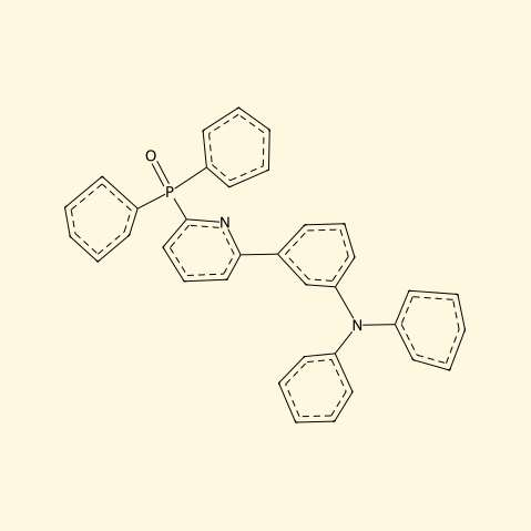 O=P(c1ccccc1)(c1ccccc1)c1cccc(-c2cccc(N(c3ccccc3)c3ccccc3)c2)n1